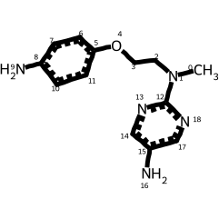 CN(CCOc1ccc(N)cc1)c1ncc(N)cn1